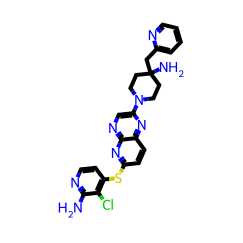 Nc1nccc(Sc2ccc3nc(N4CCC(N)(Cc5ccccn5)CC4)cnc3n2)c1Cl